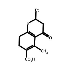 CCC1CC(=O)C2=C(CCC(C(=O)O)=C2C)S1